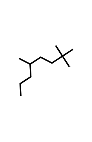 [CH2]C(C)(C)CCC(C)CCC